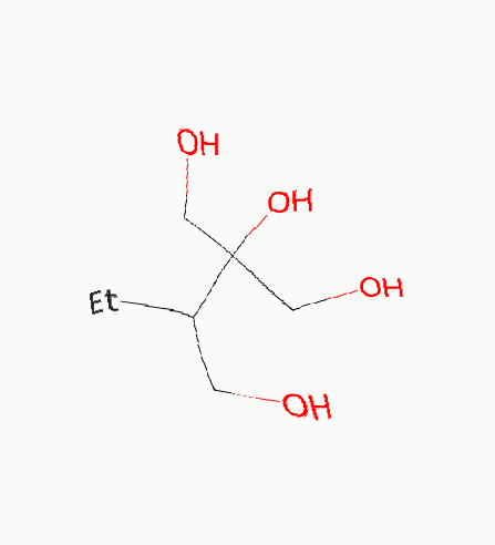 CCC(CO)C(O)(CO)CO